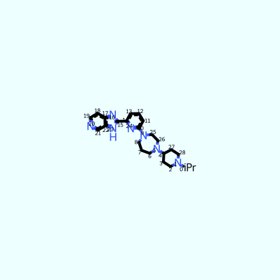 CC(C)N1CCC(N2CCCN(c3cccc(-c4nc5ccncc5[nH]4)n3)CC2)CC1